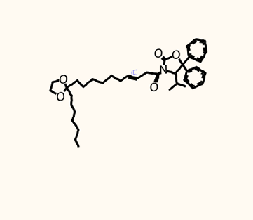 CCCCCCCC1(CCCCCC/C=C/CC(=O)N2C(=O)OC(c3ccccc3)(c3ccccc3)C2C(C)C)OCCO1